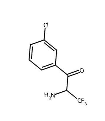 NC(C(=O)c1cccc(Cl)c1)C(F)(F)F